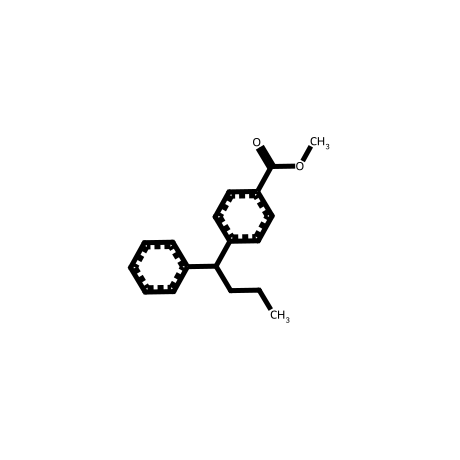 CCCC(c1ccccc1)c1ccc(C(=O)OC)cc1